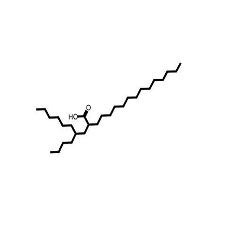 CCCCCCCCCCCCCCC(CC(CCCC)CCCCCC)C(=O)O